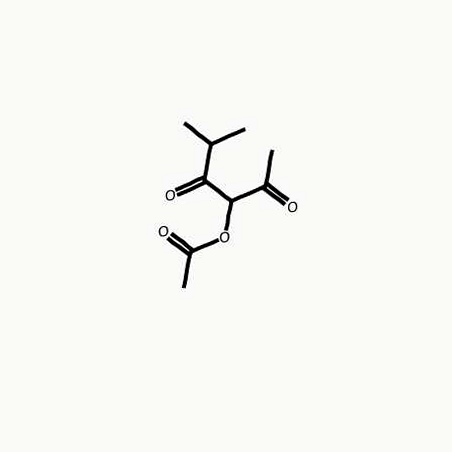 CC(=O)OC(C(C)=O)C(=O)C(C)C